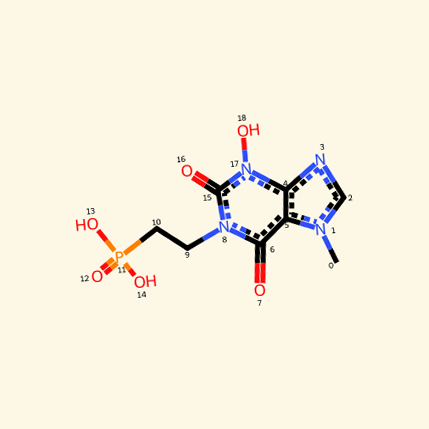 Cn1cnc2c1c(=O)n(CCP(=O)(O)O)c(=O)n2O